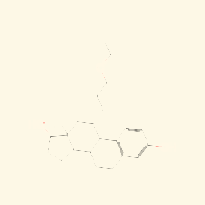 CCOCCC[C@H]1CC2(C)C(O)CCC2C2CCc3cc(O)ccc3C21